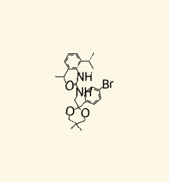 CC(C)c1cccc(C(C)C)c1NC(=O)NCC1(c2ccc(Br)cc2)OCC(C)(C)CO1